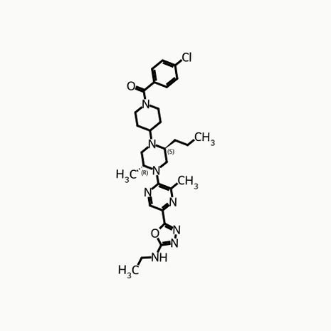 CCC[C@H]1CN(c2ncc(-c3nnc(NCC)o3)nc2C)[C@H](C)CN1C1CCN(C(=O)c2ccc(Cl)cc2)CC1